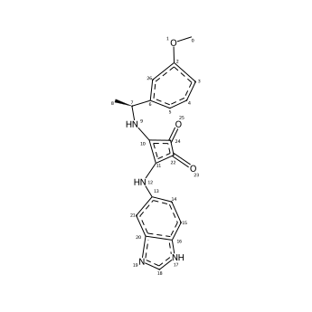 COc1cccc([C@H](C)Nc2c(Nc3ccc4[nH]cnc4c3)c(=O)c2=O)c1